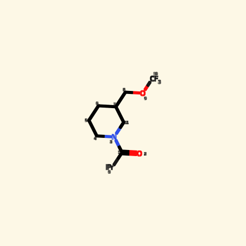 CC(C)C(=O)N1CCCC(COC(F)(F)F)C1